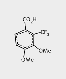 COc1ccc(C(=O)O)c(C(F)(F)F)c1OC